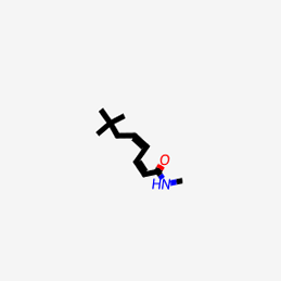 CNC(=O)/C=C\C=C/CC(C)(C)C